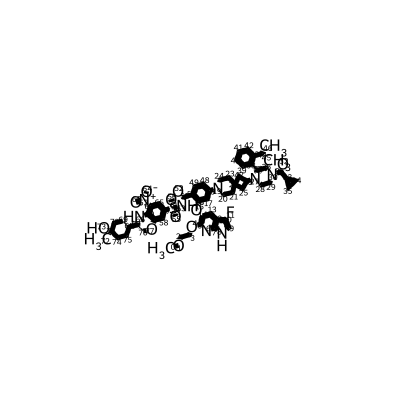 COCCOc1nc2[nH]cc(F)c2cc1Oc1cc(N2CCC3(CC2)CC(N2CCN(C(=O)C4CC4)C[C@@H]2c2ccccc2C(C)C)C3)ccc1C(=O)NS(=O)(=O)c1cc2c(c([N+](=O)[O-])c1)N[C@@H]([C@H]1CC[C@](C)(O)CC1)CO2